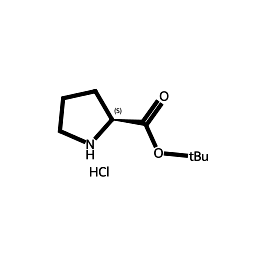 CC(C)(C)OC(=O)[C@@H]1CCCN1.Cl